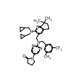 Cc1cc(CN(Cc2cc3c(nc2N(CC2CC2)CC2CC2)C(C)(C)CC3)c2ncc(N3CCCC3=O)cn2)cc(C(F)(F)F)c1